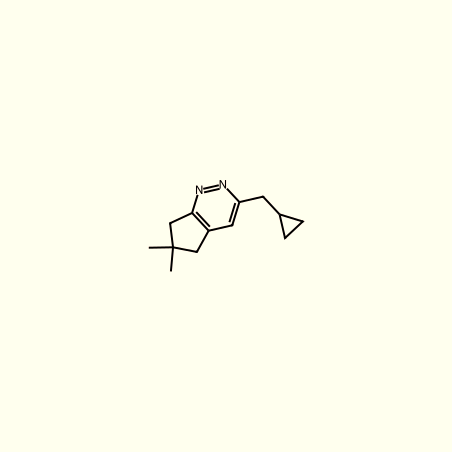 CC1(C)Cc2cc(CC3CC3)nnc2C1